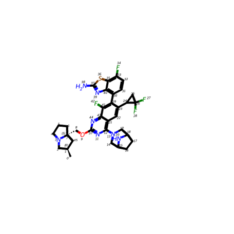 C[C@H]1CN2CCC[C@@]2(COc2nc(N3CC4CCC(C3)N4)c3cc(C4CC4(F)F)c(-c4ccc(F)c5sc(N)nc45)c(F)c3n2)C1